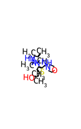 C=C(/C=C\C)NN(C)N(C)c1cc(CC(C)(C)O)sc1C(=N)N1CCOCC1